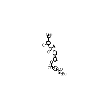 CC(C)(C)OC(=O)N1CCN(C(=O)C(C)(C)Oc2cccc(N3CCC[C@@H](C(=O)N(Cc4ccc(-c5cn[nH]c5)cc4Cl)C4CC4)C3)c2)CC1